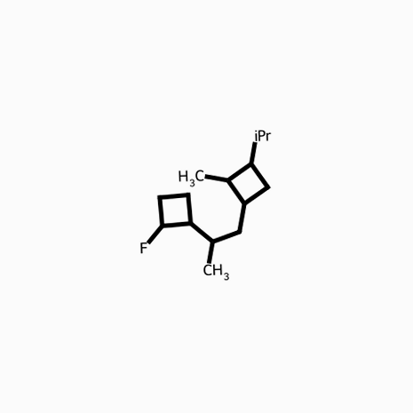 CC(C)C1CC(CC(C)C2CCC2F)C1C